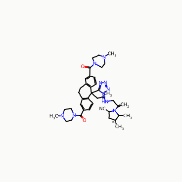 C=C(CN[C@@H](C)CC1(c2nnn[nH]2)c2ccc(C(=O)N3CCN(C)CC3)cc2CCc2cc(C(=O)N3CCN(C)CC3)ccc21)N1C(C#N)C[C@H](C)C1C